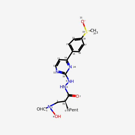 CCCCC[C@@H](CN(O)C=O)C(=O)NNc1nccc(-c2ccc([S+](C)[O-])cc2)n1